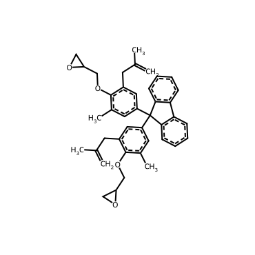 C=C(C)Cc1cc(C2(c3cc(C)c(OCC4CO4)c(CC(=C)C)c3)c3ccccc3-c3ccccc32)cc(C)c1OCC1CO1